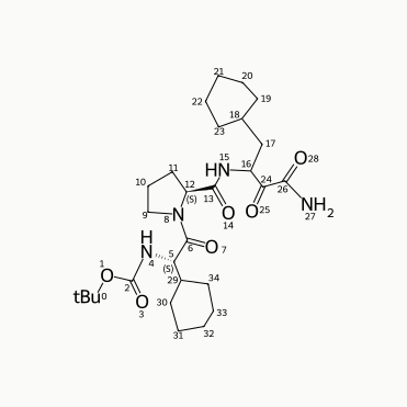 CC(C)(C)OC(=O)N[C@H](C(=O)N1CCC[C@H]1C(=O)NC(CC1CCCCC1)C(=O)C(N)=O)C1CCCCC1